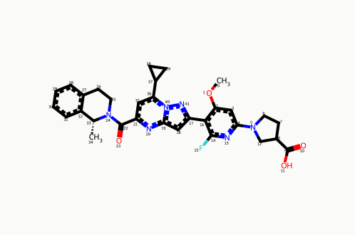 COc1cc(N2CCC(C(=O)O)C2)nc(F)c1-c1cc2nc(C(=O)N3CCc4ccccc4[C@H]3C)cc(C3CC3)n2n1